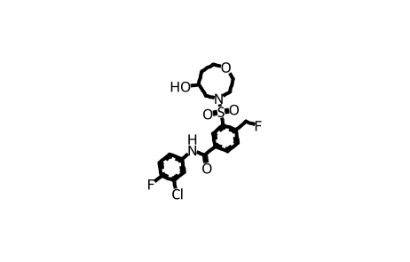 O=C(Nc1ccc(F)c(Cl)c1)c1ccc(CF)c(S(=O)(=O)N2CCOCCC(O)C2)c1